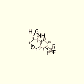 CNC1CCOCc2cc(C(F)(F)F)ccc21